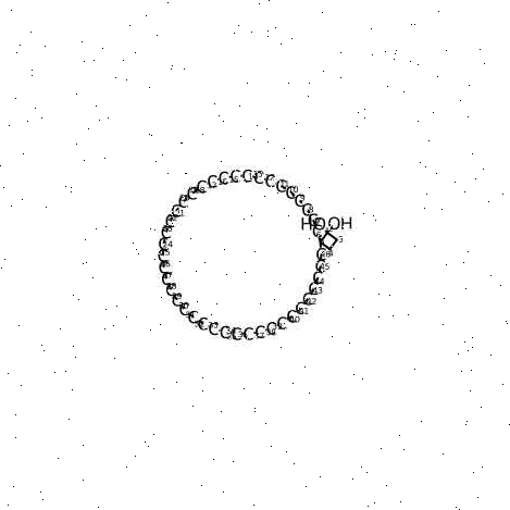 OC1(O)CCC12CCCCCCCCCCCCCCCCCCCCCCCCCCCCCCCCCCCCCCCCC2